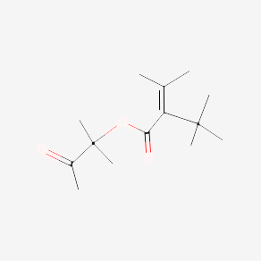 CC(=O)C(C)(C)OC(=O)C(=C(C)C)C(C)(C)C